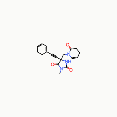 CN1C(=O)NC(C#CC2=CC=CCC2)(CN2C=CCCC2=O)C1=O